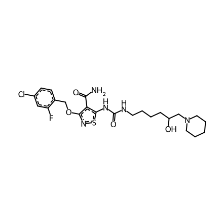 NC(=O)c1c(OCc2ccc(Cl)cc2F)nsc1NC(=O)NCCCCC(O)CN1CCCCC1